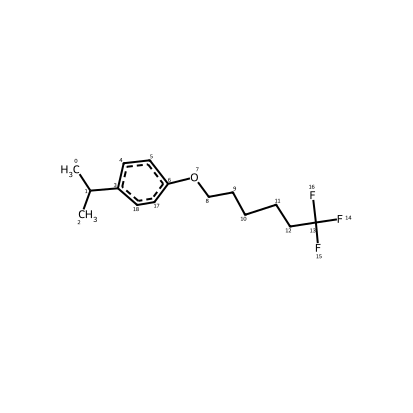 CC(C)c1ccc(OCCCCCC(F)(F)F)cc1